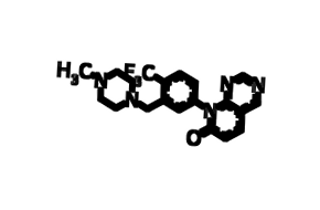 CN1CCN(Cc2cc(-n3c(=O)ccc4cncnc43)ccc2C(F)(F)F)CC1